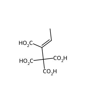 C/C=C(\C(=O)O)C(C(=O)O)(C(=O)O)C(=O)O